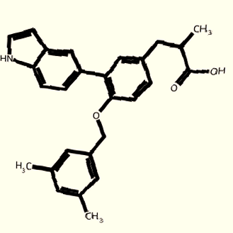 Cc1cc(C)cc(COc2ccc(CC(C)C(=O)O)cc2-c2ccc3[nH]ccc3c2)c1